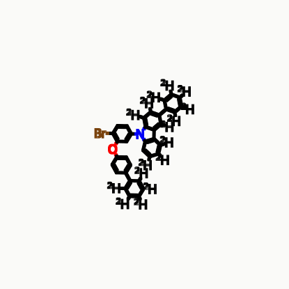 [2H]c1cc2c(c([2H])c1[2H])c1c([2H])c(-c3c([2H])c([2H])c([2H])c([2H])c3[2H])c([2H])c([2H])c1n2-c1ccc(Br)c(Oc2ccc(-c3c([2H])c([2H])c([2H])c([2H])c3[2H])cc2)c1